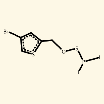 Brc1csc(COSP(I)I)c1